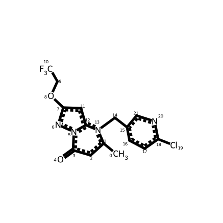 Cc1cc(=O)n2nc(OCC(F)(F)F)cc2n1Cc1ccc(Cl)nc1